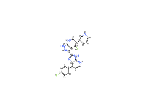 Fc1ccc(-c2ccnc3[nH]c(-c4n[nH]c5ncc(-c6cccnc6)c(F)c45)nc23)cc1